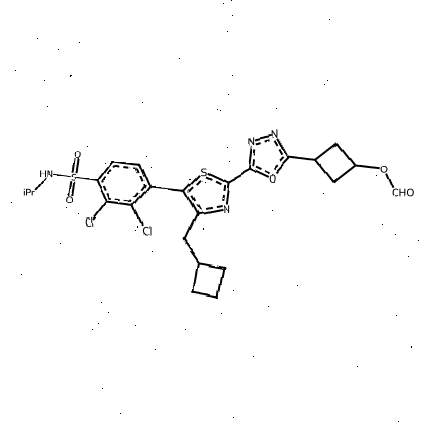 CC(C)NS(=O)(=O)c1ccc(-c2sc(-c3nnc(C4CC(OC=O)C4)o3)nc2CC2CCC2)c(Cl)c1Cl